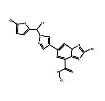 CCC(C)NC(=O)c1cc(-c2cnn(C(CC)c3ccc(Cl)s3)c2)cn2nc(N)nc12